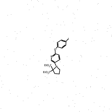 CCOC(=O)C1(C(=O)OCC)CCCN1c1ccc(Oc2ccc(I)cc2)nc1